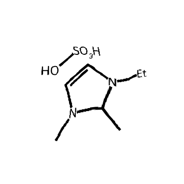 CCN1C=CN(C)C1C.O=S(=O)(O)O